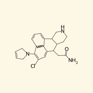 NC(=O)CC(c1ccc(N2CC=CC2)c(Cl)c1)C1CCNCC1c1ccccc1